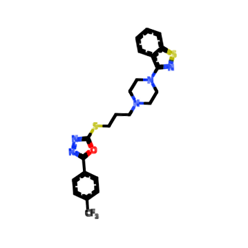 FC(F)(F)c1ccc(-c2nnc(SCCCN3CCN(c4nsc5ccccc45)CC3)o2)cc1